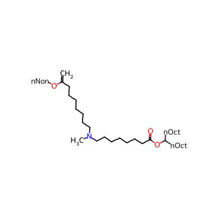 C=C(CCCCCCCN(C)CCCCCCCC(=O)OC(CCCCCCCC)CCCCCCCC)OCCCCCCCCC